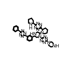 c1ccc(-c2nnc(-c3cccc(C4CN(c5nnc(N6CCNCC6)nn5)C(N5CCCCC5c5nnc(C6CCCCN6)nn5)CN4)c3)nn2)cc1